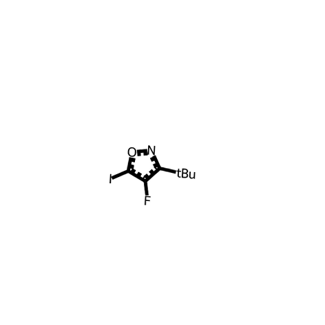 CC(C)(C)c1noc(I)c1F